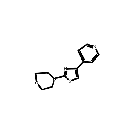 c1cc(-c2csc(N3CCOCC3)n2)ccn1